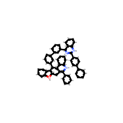 c1ccc(-c2ccc(-c3nc(-c4cccc(-c5cccc(-c6c7c(cc8c(-c9ccccc9)nc9ccccc9c68)oc6ccccc67)c5)c4)c4ccccc4n3)cc2)cc1